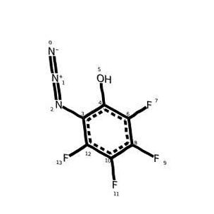 [N-]=[N+]=Nc1c(O)c(F)c(F)c(F)c1F